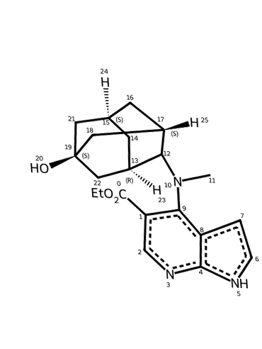 CCOC(=O)c1cnc2[nH]ccc2c1N(C)C1[C@@H]2C[C@@H]3C[C@H]1C[C@@](O)(C3)C2